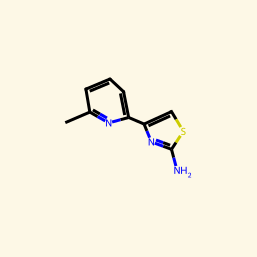 Cc1cccc(-c2csc(N)n2)n1